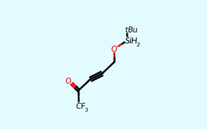 CC(C)(C)[SiH2]OCC#CC(=O)C(F)(F)F